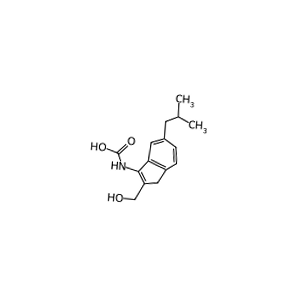 CC(C)Cc1ccc2c(c1)C(NC(=O)O)=C(CO)C2